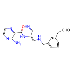 N=C/C(=C\NCc1cccc(CC=O)c1)NC(=O)c1nccnc1N